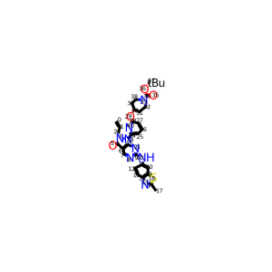 C=CCn1c(=O)c2cnc(Nc3ccc4nc(C)sc4c3)nc2n1-c1cccc(OC2CCN(C(=O)OC(C)(C)C)CC2)n1